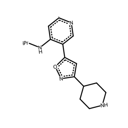 CC(C)Nc1c[c]ncc1-c1cc(C2CCNCC2)no1